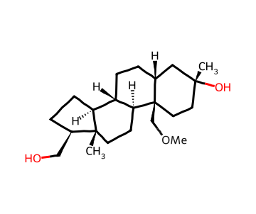 COC[C@]12CC[C@@](C)(O)C[C@H]1CC[C@H]1[C@@H]3CC[C@H](CO)[C@@]3(C)CC[C@@H]12